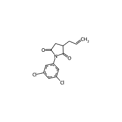 C=CCC1CC(=O)N(c2cc(Cl)cc(Cl)c2)C1=O